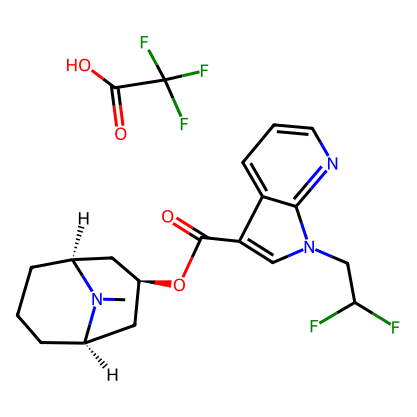 CN1[C@@H]2CCC[C@H]1C[C@@H](OC(=O)c1cn(CC(F)F)c3ncccc13)C2.O=C(O)C(F)(F)F